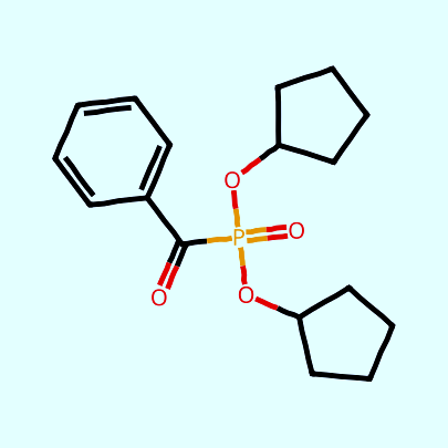 O=C(c1ccccc1)P(=O)(OC1CCCC1)OC1CCCC1